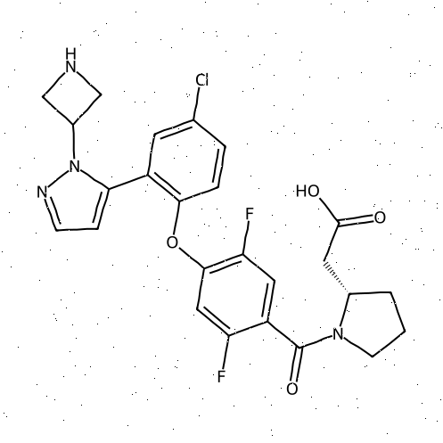 O=C(O)C[C@@H]1CCCN1C(=O)c1cc(F)c(Oc2ccc(Cl)cc2-c2ccnn2C2CNC2)cc1F